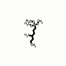 CCCC(N)CCC[Si](OC)(OC)OC